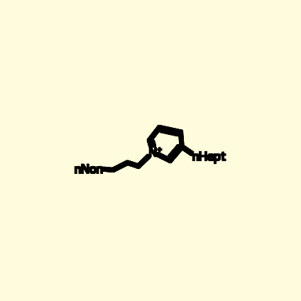 CCCCCCCCCCCC[n+]1cccc(CCCCCCC)c1